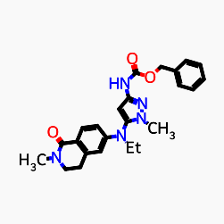 CCN(c1ccc2c(c1)CCN(C)C2=O)c1cc(NC(=O)OCc2ccccc2)nn1C